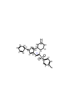 Cc1ccc(S(=O)(=O)/C=C/c2cn(-c3ccccc3)nc2C2CCCNC2)cc1